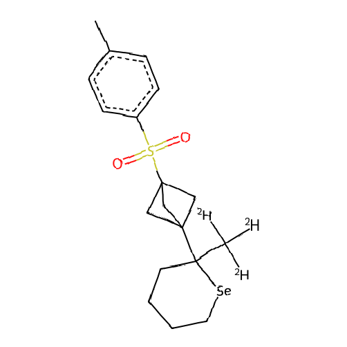 [2H]C([2H])([2H])C1(C23CC(S(=O)(=O)c4ccc(C)cc4)(C2)C3)CCCC[Se]1